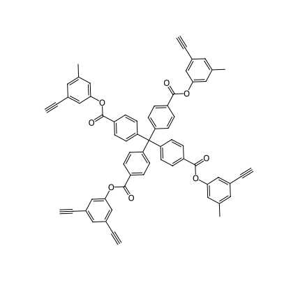 C#Cc1cc(C)cc(OC(=O)c2ccc(C(c3ccc(C(=O)Oc4cc(C)cc(C#C)c4)cc3)(c3ccc(C(=O)Oc4cc(C)cc(C#C)c4)cc3)c3ccc(C(=O)Oc4cc(C#C)cc(C#C)c4)cc3)cc2)c1